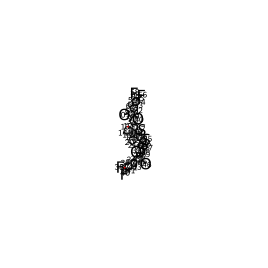 O=C1C(=CC2=Cc3sc4c(c3C23CCCCC3)C2(CCCCC2)c2c-4sc3cc(C=C4C(=O)c5cc6cc(F)c(F)cc6cc5C4=O)sc23)C(=O)c2cc3cc(F)c(F)cc3cc21